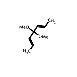 CC=CC(C=CC)(OC)OC